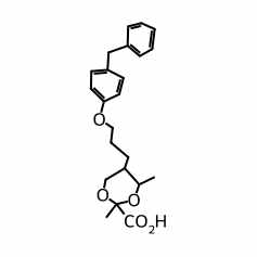 CC1OC(C)(C(=O)O)OCC1CCCOc1ccc(Cc2ccccc2)cc1